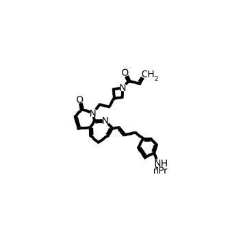 C=CC(=O)N1CC(CCn2c(=O)ccc3c2=NC(/C=C/Cc2ccc(NCCC)cc2)=CCC=3)C1